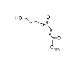 CC(C)OC(=O)C=CC(=O)OCCCO